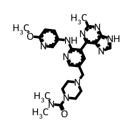 COc1ccc(Nc2ncc(CN3CCN(C(=O)N(C)C)CC3)cc2-c2nc(C)nc3[nH]cnc23)cn1